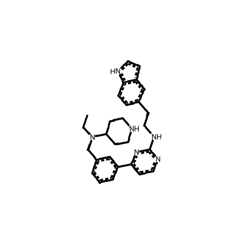 CCN(Cc1cccc(-c2ccnc(NCCc3ccc4[nH]ccc4c3)n2)c1)C1CCNCC1